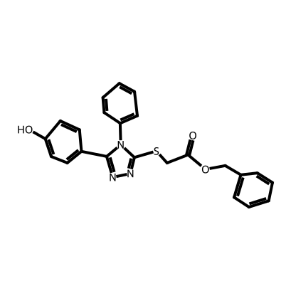 O=C(CSc1nnc(-c2ccc(O)cc2)n1-c1ccccc1)OCc1ccccc1